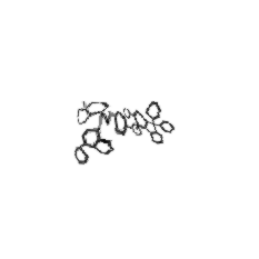 C[C@]12C=CCCC1=C(N(c1ccc3c(c1)Oc1ccc4c(c1O3)-c1ccccc1C4(c1ccccc1)c1ccccc1)c1ccc(-c3ccccc3)c3ccccc13)C#CC2